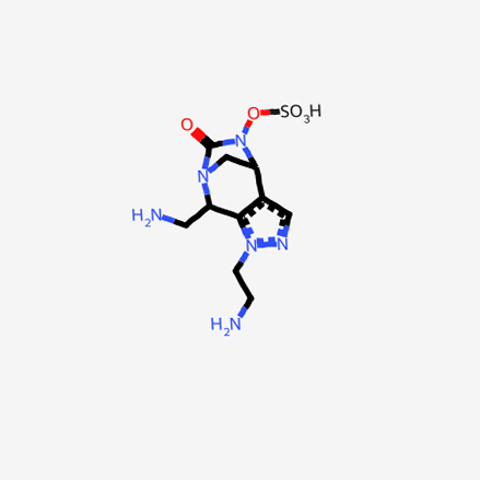 NCCn1ncc2c1C(CN)N1CC2N(OS(=O)(=O)O)C1=O